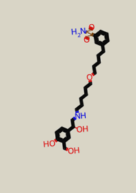 NS(=O)(=O)c1cccc(CCCCCOCCCCCCNC[C@H](O)c2ccc(O)c(CO)c2)c1